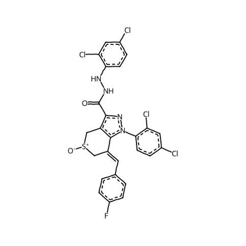 O=C(NNc1ccc(Cl)cc1Cl)c1nn(-c2ccc(Cl)cc2Cl)c2c1C[S+]([O-])C/C2=C\c1ccc(F)cc1